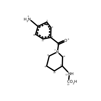 Nc1ccc(C(=O)N2CCCC(NC(=O)O)C2)cc1